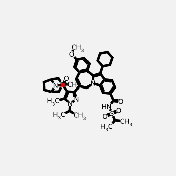 COc1ccc2c(c1)C=C(c1nn(C(C)C)c(C)c1C(=O)N1C3CCC1CN(C)C3)Cn1c-2c(C2CCCCC2)c2ccc(C(=O)NS(=O)(=O)C(C)C)cc21